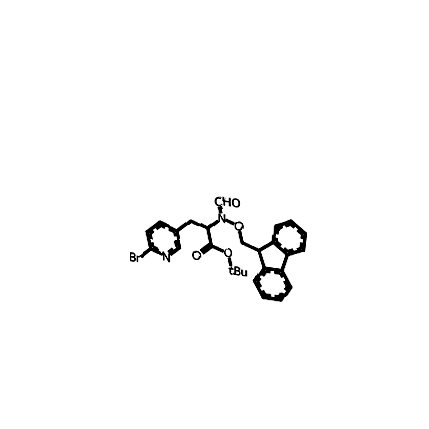 CC(C)(C)OC(=O)C(Cc1ccc(Br)nc1)N(C=O)OCC1c2ccccc2-c2ccccc21